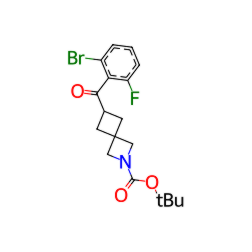 CC(C)(C)OC(=O)N1CC2(CC(C(=O)c3c(F)cccc3Br)C2)C1